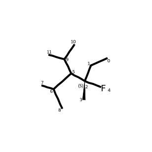 CC[C@](C)(F)C(C(C)C)C(C)C